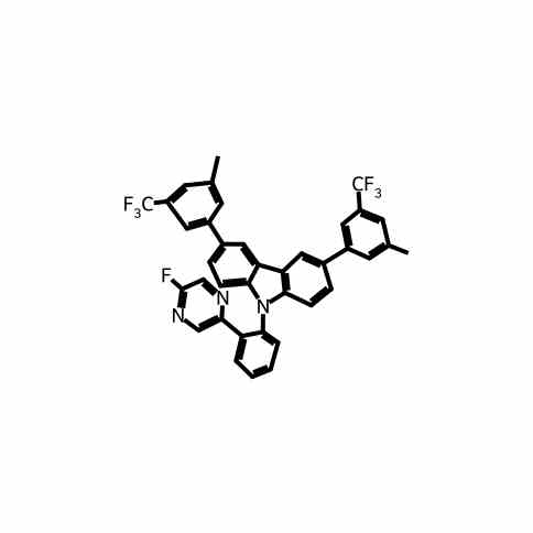 Cc1cc(-c2ccc3c(c2)c2cc(-c4cc(C)cc(C(F)(F)F)c4)ccc2n3-c2ccccc2-c2cnc(F)cn2)cc(C(F)(F)F)c1